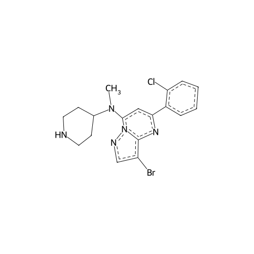 CN(c1cc(-c2ccccc2Cl)nc2c(Br)cnn12)C1CCNCC1